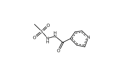 CS(=O)(=O)NNC(=O)c1ccncc1